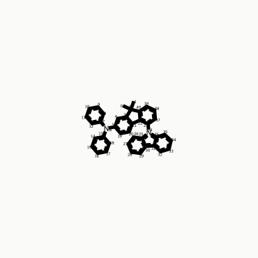 CC1(C)c2cc(N(c3ccccc3)c3ccccc3)ccc2-c2c(-n3c4ccccc4c4ccccc43)cccc21